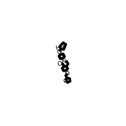 O=C1c2ccc(OCC3CCCO3)cc2CCN1c1ccc(OC2CC3CCC(C2)N3)cc1